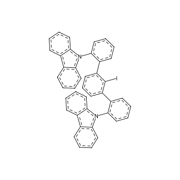 Ic1c(-c2ccccc2-n2c3ccccc3c3ccccc32)cccc1-c1ccccc1-n1c2ccccc2c2ccccc21